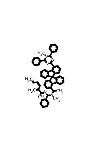 C=C/C=C\C(=C)/C(C)=N/C(c1ccccc1)N(C)C(C)c1cccc2c1-c1ccccc1C21c2ccccc2-c2c(C3=NC(c4ccccc4)N(C)C(c4ccccc4)=N3)cccc21